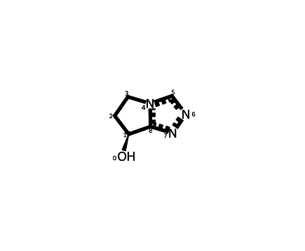 O[C@H]1CCn2cnnc21